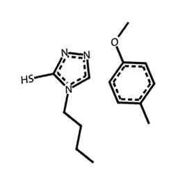 CCCCn1cnnc1S.COc1ccc(C)cc1